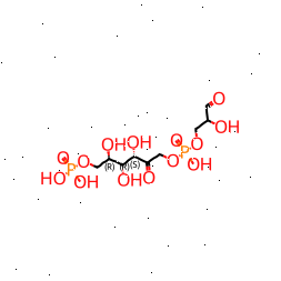 O=CC(O)COP(=O)(O)OCC(=O)[C@@H](O)[C@H](O)[C@H](O)COP(=O)(O)O